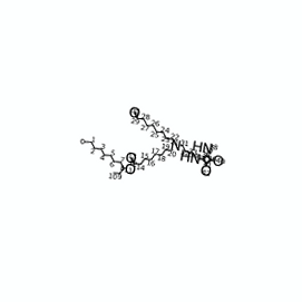 CCCCCCCCC(CC)OC(=O)CCCCCCCN(CCCCCCCC=O)CCCNc1c(NC)c(=O)c1=O